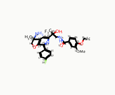 COc1cc(C(=O)NCC(O)(c2cc3c(c(-c4ccc(F)cc4)n2)OC[C@@]3(C)N)C(F)(F)F)ccc1OCC(C)=O